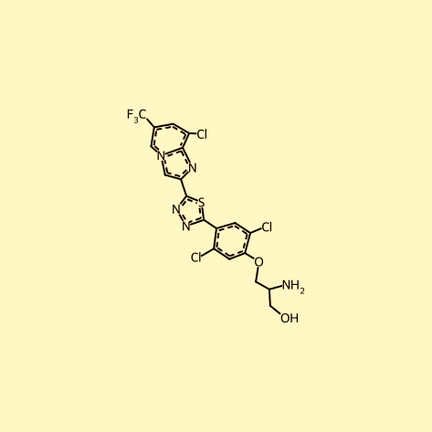 NC(CO)COc1cc(Cl)c(-c2nnc(-c3cn4cc(C(F)(F)F)cc(Cl)c4n3)s2)cc1Cl